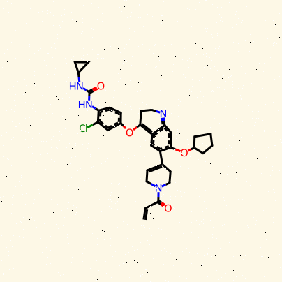 C=CC(=O)N1CC=C(c2cc3c(cc2OC2CCCC2)=NCCC=3Oc2ccc(NC(=O)NC3CC3)c(Cl)c2)CC1